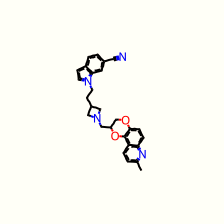 Cc1ccc2c3c(ccc2n1)OCC(CN1CC(CCn2ccc4ccc(C#N)cc42)C1)O3